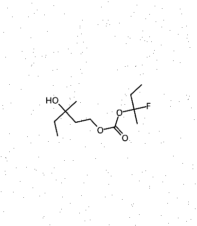 CCC(C)(O)CCOC(=O)OC(C)(F)CC